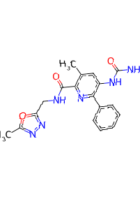 Cc1nnc(CNC(=O)c2nc(-c3ccccc3)c(NC(N)=O)cc2C)o1